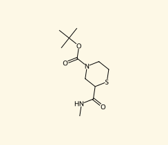 CNC(=O)C1CN(C(=O)OC(C)(C)C)CCS1